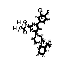 CC(=O)N(C)c1nc(-c2ccc(F)c(Cl)c2)cc(N2CCN(c3ncccc3C(F)(F)F)CC2)n1